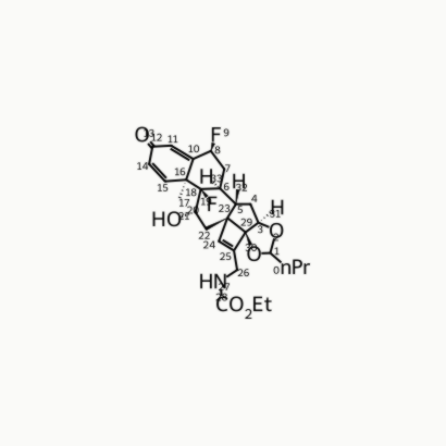 CCCC1O[C@@H]2C[C@H]3[C@@H]4C[C@H](F)C5=CC(=O)C=C[C@]5(C)[C@@]4(F)[C@@H](O)C[C@@]34C=C(CNC(=O)OCC)[C@@]24O1